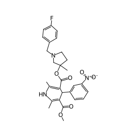 COC(=O)C1=C(C)NC(C)=C(C(=O)OC2(C)CCN(Cc3ccc(F)cc3)C2)C1c1cccc([N+](=O)[O-])c1